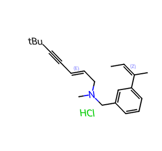 C/C=C(/C)c1cccc(CN(C)C/C=C/C#CC(C)(C)C)c1.Cl